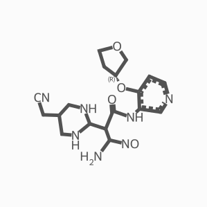 N#CCC1CNC(C(C(=O)Nc2cnccc2O[C@@H]2CCOC2)C(N)N=O)NC1